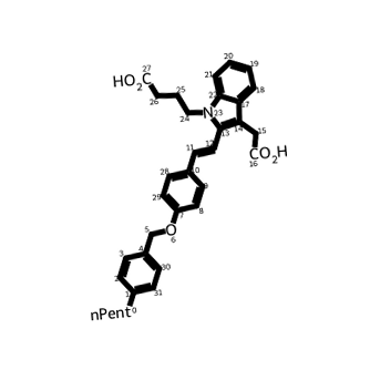 CCCCCc1ccc(COc2ccc(C=Cc3c(CC(=O)O)c4ccccc4n3CCCC(=O)O)cc2)cc1